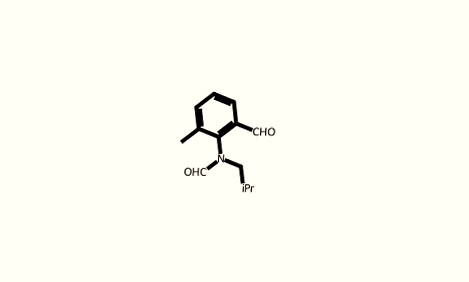 Cc1cccc(C=O)c1N(C=O)CC(C)C